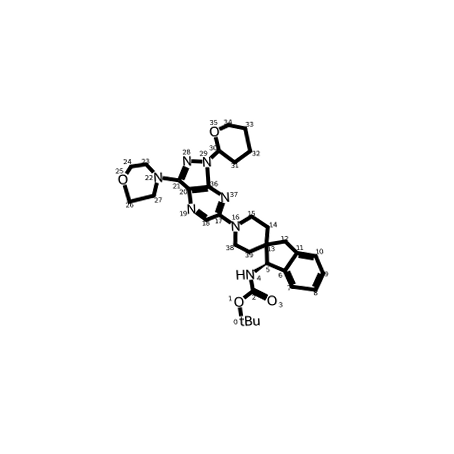 CC(C)(C)OC(=O)N[C@@H]1c2ccccc2CC12CCN(c1cnc3c(N4CCOCC4)nn(C4CCCCO4)c3n1)CC2